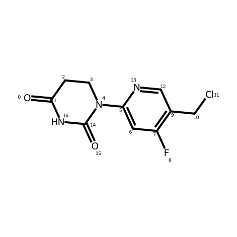 O=C1CCN(c2cc(F)c(CCl)cn2)C(=O)N1